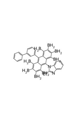 Bc1c(B)c(B)c2c(-n3c(CC)nc4ccccc43)c3c(B)c(B)c(B)c(B)c3c(-c3cccc(-c4ccccc4)c3)c2c1B